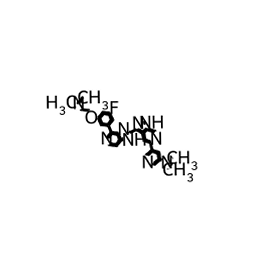 CN(C)CCOc1cc(F)cc(-c2nccc3[nH]c(-c4n[nH]c5cnc(-c6cncc(N(C)C)c6)cc45)nc23)c1